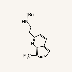 CC(C)(C)NCCc1ccc2cccc(C(F)(F)F)c2n1